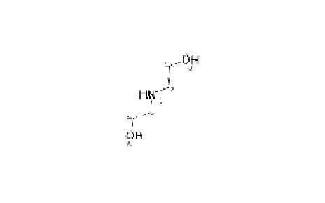 O[CH]CNCCO